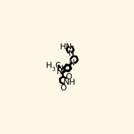 Cn1nc(C2CCC(=O)NC2=O)c2ccc(N3CCCC(N4CCNCC4)C3)cc21